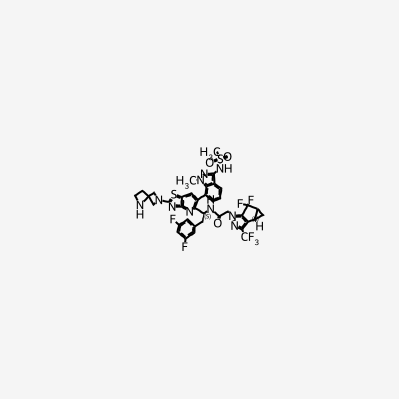 Cn1nc(NS(C)(=O)=O)c2cccc(-c3cc4sc(N5CC6(CCN6)C5)nc4nc3[C@H](Cc3cc(F)cc(F)c3)NC(=O)Cn3nc(C(F)(F)F)c4c3C(F)(F)C3C[C@H]43)c21